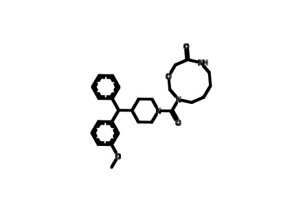 COc1cccc(C(c2ccccc2)C2CCN(C(=O)N3CCCCNC(=O)COC3)CC2)c1